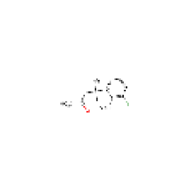 CCCC(C)(CC(=O)C(=O)O)c1cccc(F)c1OC